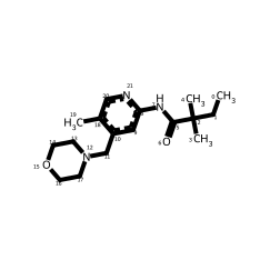 CCC(C)(C)C(=O)Nc1cc(CN2CCOCC2)c(C)cn1